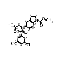 COC(=O)N1CCc2cc(N(CC(=O)O)S(=O)(=O)c3cc(Cl)cc(Cl)c3)ccc21